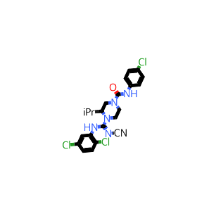 CC(C)C1CN(C(=O)Nc2ccc(Cl)cc2)CCN1/C(=N\C#N)Nc1cc(Cl)ccc1Cl